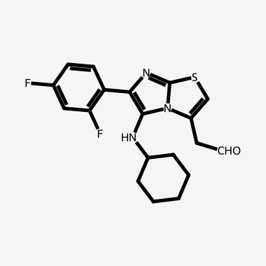 O=CCc1csc2nc(-c3ccc(F)cc3F)c(NC3CCCCC3)n12